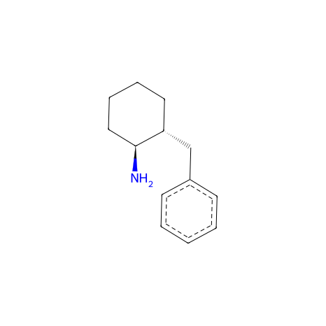 N[C@H]1CCCC[C@@H]1Cc1ccccc1